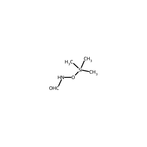 C[Si](C)(C)ONC=O